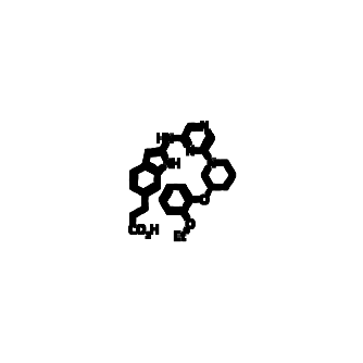 CCOc1ccccc1O[C@@H]1CCCN(c2cncc(Nc3cc4ccc(CCC(=O)O)cc4[nH]3)n2)C1